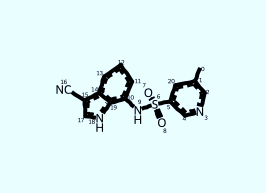 Cc1cncc(S(=O)(=O)Nc2cccc3c(C#N)c[nH]c23)c1